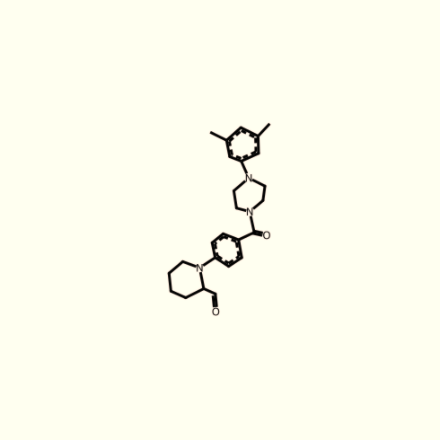 Cc1cc(C)cc(N2CCN(C(=O)c3ccc(N4CCCCC4C=O)cc3)CC2)c1